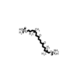 CC(C)(CCCOP(N)(=O)O)CCC(=O)CCCC(=O)CCCC(C)(C)COP(N)(=O)O